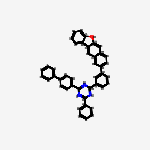 c1ccc(-c2ccc(-c3nc(-c4ccccc4)nc(-c4cccc(-c5ccc6cc7oc8ccccc8c7cc6c5)c4)n3)cc2)cc1